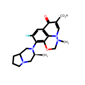 C[C@H]1CN2CCCC2CN1c1c(F)cc2c(=O)c(C(=O)O)cn3c2c1OCN3C